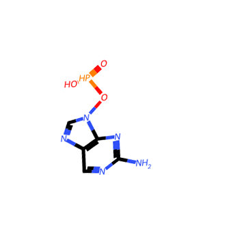 Nc1ncc2ncn(O[PH](=O)O)c2n1